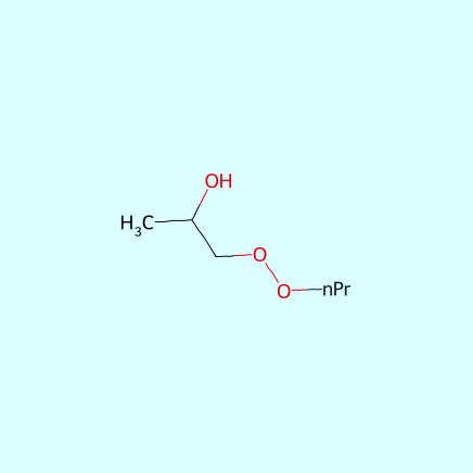 CCCOOCC(C)O